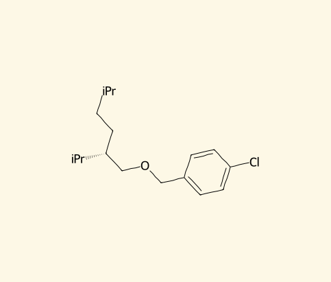 CC(C)CC[C@H](COCc1ccc(Cl)cc1)C(C)C